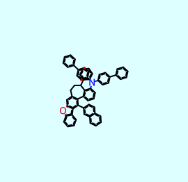 c1ccc(-c2ccc(N(c3ccc(-c4ccccc4)cc3)c3cccc4c3C(c3ccccc3)CCc3cc5oc6ccccc6c5c(-c5ccc6ccccc6c5)c3-4)cc2)cc1